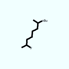 CCCCC(C)CCCCC(C)F